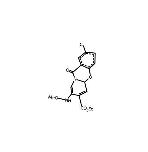 CCOC(=O)C1=CC2Oc3ccc(Cl)cc3C(=O)N2C=C1NOC